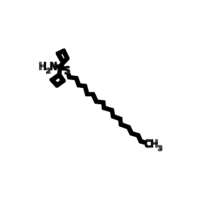 CCCCCCCCCCCCCCCCCCSC(N)(C1CCC1)C1CCC1